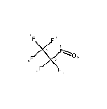 O=PC(F)(F)C(F)(F)F